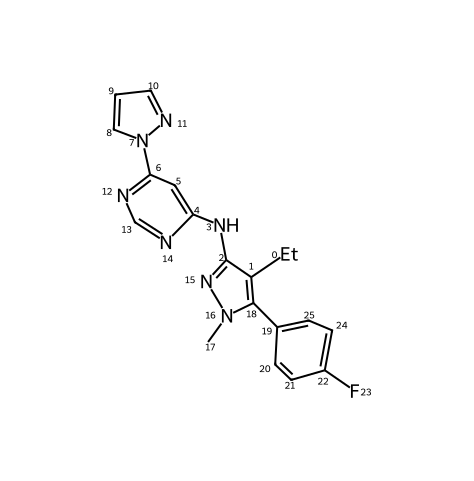 CCc1c(Nc2cc(-n3cccn3)ncn2)nn(C)c1-c1ccc(F)cc1